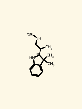 CC(CNC(C)(C)C)[C@@H]1Nc2ccccc2C1(C)C